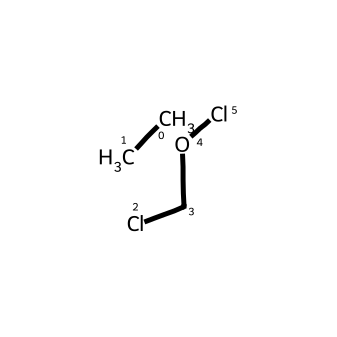 CC.ClCOCl